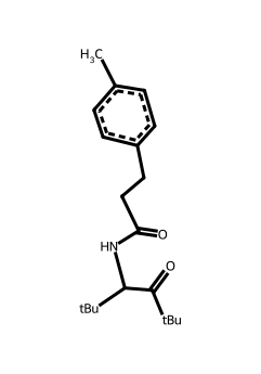 Cc1ccc(CCC(=O)NC(C(=O)C(C)(C)C)C(C)(C)C)cc1